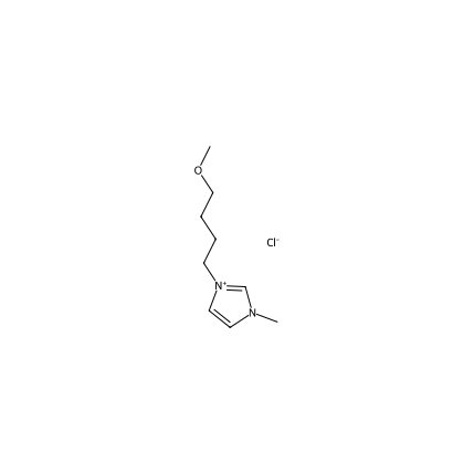 COCCCC[n+]1ccn(C)c1.[Cl-]